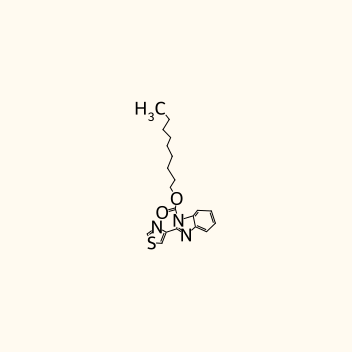 CCCCCCCCCOC(=O)n1c(-c2cscn2)nc2ccccc21